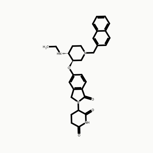 CCN[C@@H]1CCN(Cc2ccc3ccccc3c2)C[C@H]1Oc1ccc2c(c1)CN(C1CCC(=O)NC1=O)C2=O